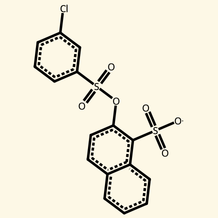 [O]S(=O)(=O)c1c(OS(=O)(=O)c2cccc(Cl)c2)ccc2ccccc12